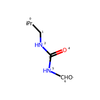 CC(C)CNC(=O)N[C]=O